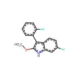 O=C(O)Oc1[nH]c2cc(F)ccc2c1-c1ccccc1F